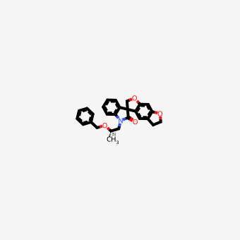 C[C@@H](CN1C(=O)C2(COc3cc4c(cc32)CCO4)c2ccccc21)OCc1ccccc1